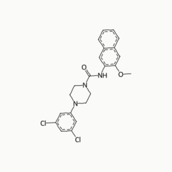 COc1cc2ccccc2cc1NC(=O)N1CCN(c2cc(Cl)cc(Cl)c2)CC1